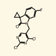 O=C1N(Cc2cnc(Cl)nc2Cl)c2cc(F)ccc2C12CC2